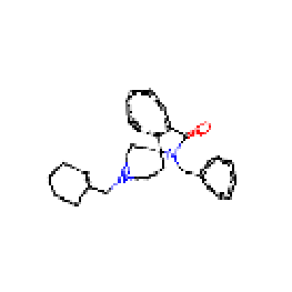 O=C1c2ccccc2C2(CCN(CC3CCCCC3)CC2)N1Cc1ccccc1